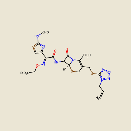 C=CCn1nnnc1SCC1=C(C(=O)O)N2C(=O)C(NC(=O)C(=NOCC(=O)OCC)c3csc(NC=O)n3)[C@@H]2SC1